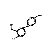 NCc1nc(-c2cnc(CF)nc2)ncc1C(F)(F)F